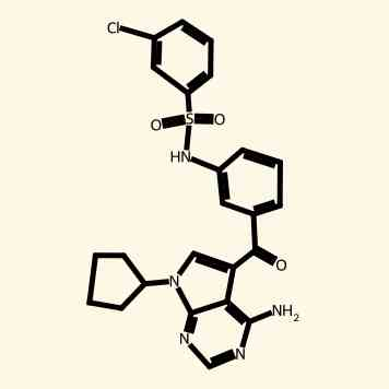 Nc1ncnc2c1c(C(=O)c1cccc(NS(=O)(=O)c3cccc(Cl)c3)c1)cn2C1CCCC1